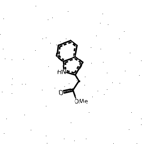 COC(=O)Cc1cc2cc[c]cc2[nH]1